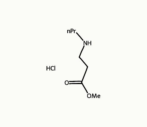 CCCNCCC(=O)OC.Cl